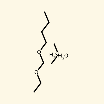 CCCCOCOCC.C[SiH2]C.O